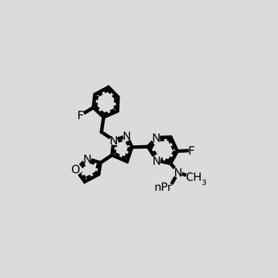 CCCN(C)c1nc(-c2cc(-c3ccon3)n(Cc3ccccc3F)n2)ncc1F